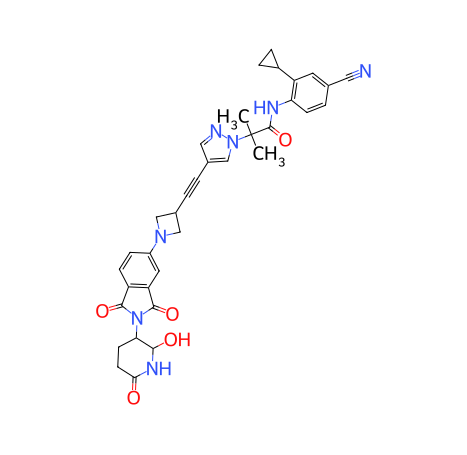 CC(C)(C(=O)Nc1ccc(C#N)cc1C1CC1)n1cc(C#CC2CN(c3ccc4c(c3)C(=O)N(C3CCC(=O)NC3O)C4=O)C2)cn1